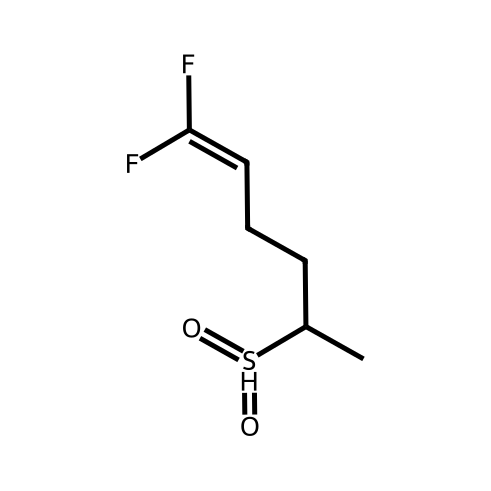 CC(CCC=C(F)F)[SH](=O)=O